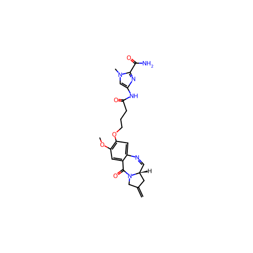 C=C1C[C@H]2C=Nc3cc(OCCCC(=O)Nc4cn(C)c(C(N)=O)n4)c(OC)cc3C(=O)N2C1